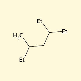 CC[C](CC)CC(C)CC